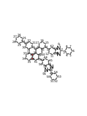 Cn1c(-c2ccccc2)nc2ccc(-c3cccc4c(-c5ccc(-c6ccccc6)cc5-c5ccccc5)c5cccc(-c6ccc7nc(-c8ccccc8)n(C)c7c6)c5cc34)cc21